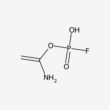 C=C(N)OP(=O)(O)F